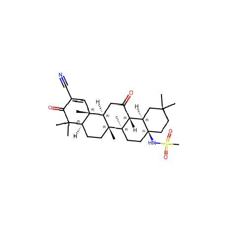 CC1(C)CC[C@]2(NS(C)(=O)=O)CC[C@]3(C)[C@H](C(=O)C[C@@H]4[C@@]5(C)C=C(C#N)C(=O)C(C)(C)[C@@H]5CC[C@]43C)[C@H]2C1